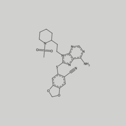 CS(=O)(=O)N1CCCCC1CCn1c(Sc2cc3c(cc2C#N)OCO3)nc2c(N)ncnc21